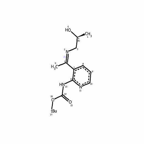 C/C(=N/C[C@H](C)O)c1cccnc1NC(=O)OC(C)(C)C